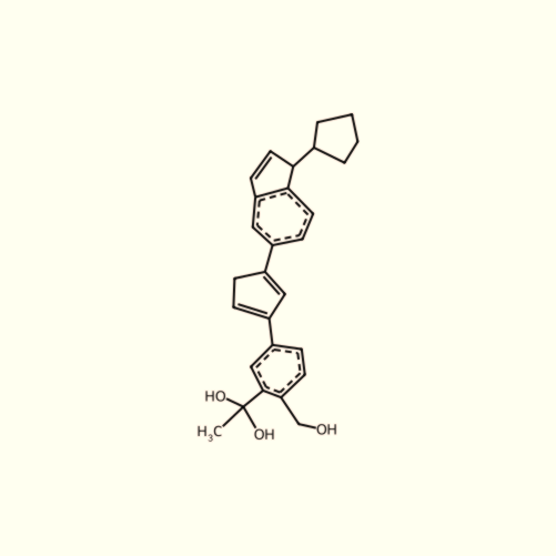 CC(O)(O)c1cc(C2=CCC(c3ccc4c(c3)C=CC4C3CCCC3)=C2)ccc1CO